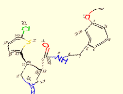 COc1cccc(CCNC(=O)[C@@H]2CNC[C@H]2c2ccc(Cl)s2)c1